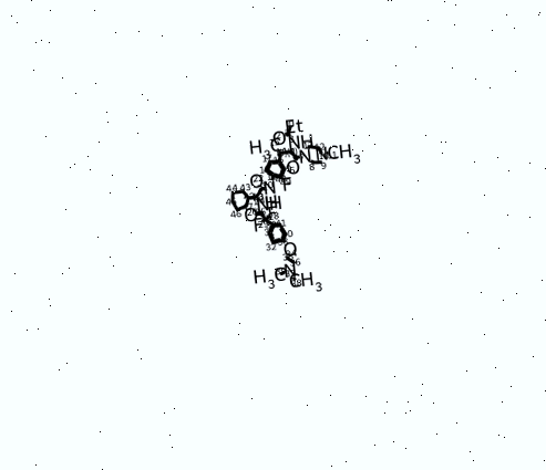 CCC(=O)N[C@@H](C(=O)N1CCN(C)CC1)[C@@H](C)c1ccc(NC(=O)[C@@H](NC(=O)C(F)(F)c2ccc(OCCN(C)C)cc2)C2CCCCC2)c(F)c1